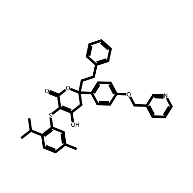 Cc1ccc(C(C)C)c(SC2=C(O)CC(CCc3ccccc3)(c3ccc(OCc4cccnc4)cc3)OC2=O)c1